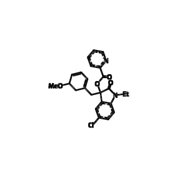 CCN1C(=O)C(CC2=CC=CC(OC)C2)(OC(=O)c2ccccn2)c2cc(Cl)ccc21